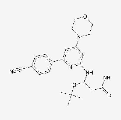 CC(C)(C)OC(CC([NH])=O)Nc1nc(-c2ccc(C#N)cc2)cc(N2CCOCC2)n1